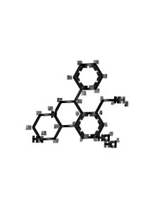 Cl.Cl.NCc1cccc2c1C(c1ccccc1)CN1CCNCC21